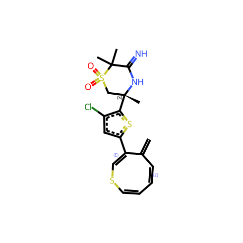 C=C1/C=C\C=CS/C=C\1c1cc(Cl)c([C@]2(C)CS(=O)(=O)C(C)(C)C(=N)N2)s1